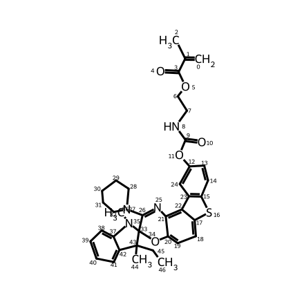 C=C(C)C(=O)OCCNC(=O)Oc1ccc2sc3ccc4c(c3c2c1)N=C(N1CCCCC1)C1(O4)N(C)c2ccccc2C1(C)CC